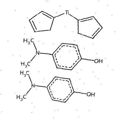 C1=CC[C]([Ti][C]2=CC=CC2)=C1.CN(C)c1ccc(O)cc1.CN(C)c1ccc(O)cc1